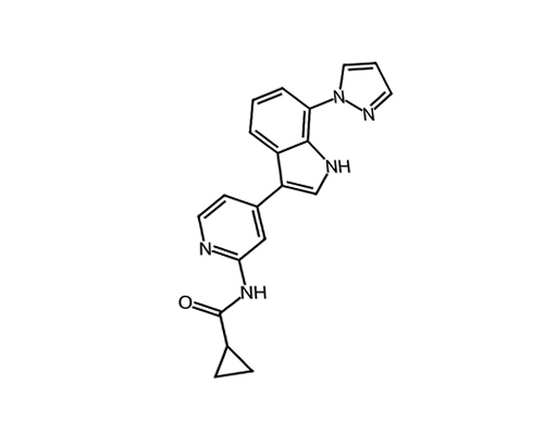 O=C(Nc1cc(-c2c[nH]c3c(-n4cccn4)cccc23)ccn1)C1CC1